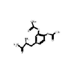 CC(C)COC(=O)Oc1ccc(C[C@H](N)C(N)=O)cc1OC(=O)OCC(C)C